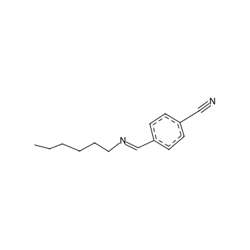 CCCCCCN=Cc1ccc(C#N)cc1